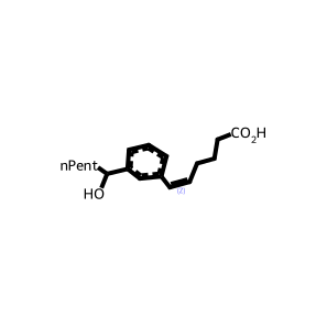 CCCCCC(O)c1cccc(/C=C\CCCC(=O)O)c1